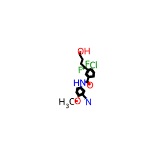 COc1ccc(NC(=O)c2ccc(Cl)c(C(F)(F)CCCO)c2)cc1C#N